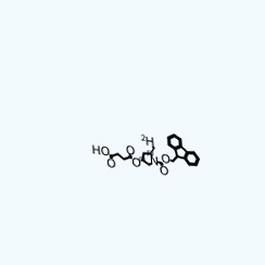 [2H]C[C@@H]1C[C@@H](OC(=O)CCC(=O)O)CN1C(=O)OCC1c2ccccc2-c2ccccc21